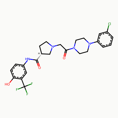 O=C(Nc1ccc(O)c(C(F)(F)F)c1)[C@@H]1CCN(CC(=O)N2CCN(c3cccc(Cl)c3)CC2)C1